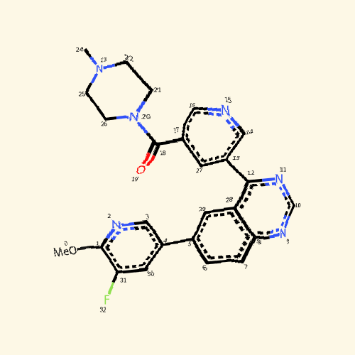 COc1ncc(-c2ccc3ncnc(-c4cncc(C(=O)N5CCN(C)CC5)c4)c3c2)cc1F